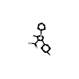 Cc1c(C(=O)O)c(-c2ccc(F)cc2)cn1-c1ccccc1